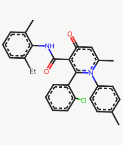 CCc1cccc(C)c1NC(=O)c1c(-c2ccccc2Cl)n(-c2ccc(C)cc2)c(C)cc1=O